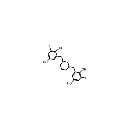 Oc1cc(F)c(O)c(CN2CCCN(Cc3cc(O)cc(F)c3O)C2)c1